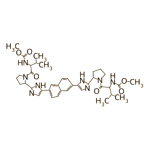 COC(=O)NC(C(=O)N1CCCC1c1ncc(-c2ccc3cc(-c4cnc(C5CCCN5C(=O)C(NC(=O)OC)C(C)C)[nH]4)ccc3c2)[nH]1)C(C)C